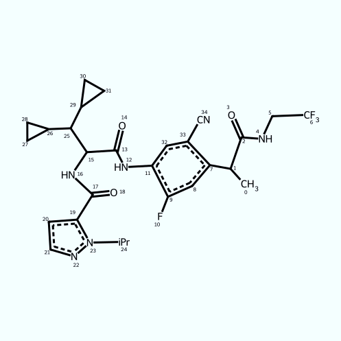 CC(C(=O)NCC(F)(F)F)c1cc(F)c(NC(=O)C(NC(=O)c2ccnn2C(C)C)C(C2CC2)C2CC2)cc1C#N